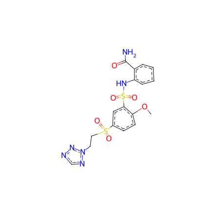 COc1ccc(S(=O)(=O)CCn2ncnn2)cc1S(=O)(=O)Nc1ccccc1C(N)=O